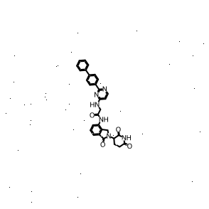 O=C1CCC(N2Cc3c(NC(=O)CNc4ccnc(-c5ccc(-c6ccccc6)cc5)n4)cccc3C2=O)C(=O)N1